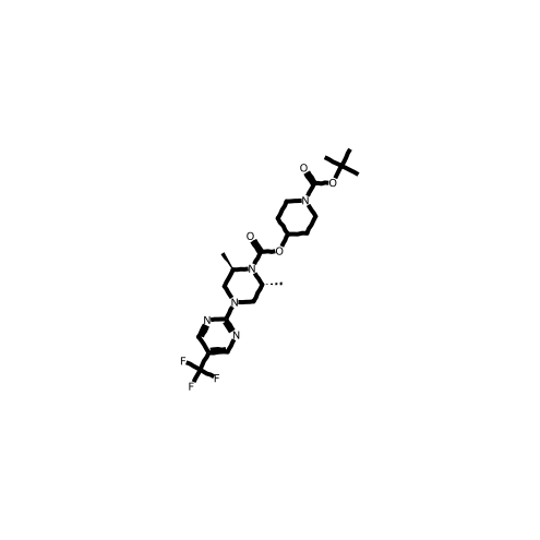 C[C@@H]1CN(c2ncc(C(F)(F)F)cn2)C[C@@H](C)N1C(=O)OC1CCN(C(=O)OC(C)(C)C)CC1